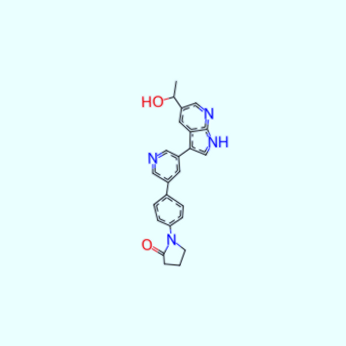 CC(O)c1cnc2[nH]cc(-c3cncc(-c4ccc(N5CCCC5=O)cc4)c3)c2c1